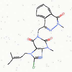 CC(C)=CCn1c(Cl)nc2c1c(=O)n(Cc1nn(C)c(=O)c3ccccc13)c(=O)n2C